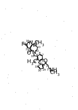 CNCCC(Oc1ccc(CN2CCN(C)c3ncc(F)cc3C2=O)c(C)c1)c1cccs1